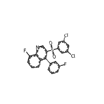 O=S(=O)(c1cc(Cl)cc(Cl)c1)c1cnc2c(F)cccc2c1-c1cccc(F)c1